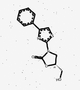 O=C1O[C@@H](CO)CN1c1nc(-c2ccccc2)cs1